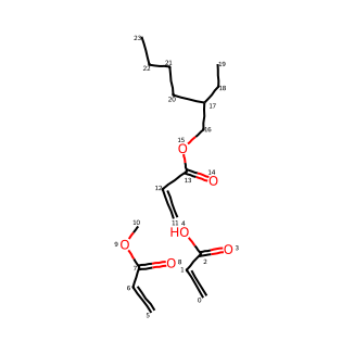 C=CC(=O)O.C=CC(=O)OC.C=CC(=O)OCC(CC)CCCC